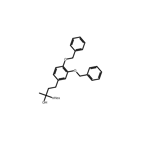 CCCCCCC(C)(O)CCc1ccc(OCc2ccccc2)c(OCc2ccccc2)c1